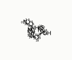 CN1CCc2ccc(Nc3ncc4ccn(-c5cccc(C#CC(C)(O)c6nccs6)c5)c4n3)cc2C1